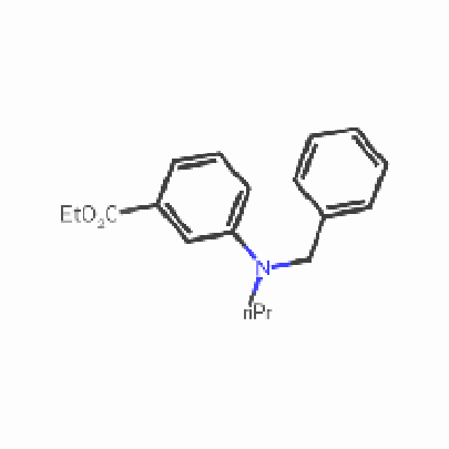 CCCN(Cc1ccccc1)c1cccc(C(=O)OCC)c1